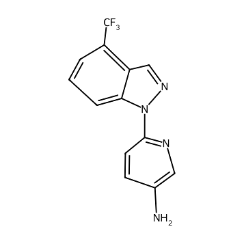 Nc1ccc(-n2ncc3c(C(F)(F)F)cccc32)nc1